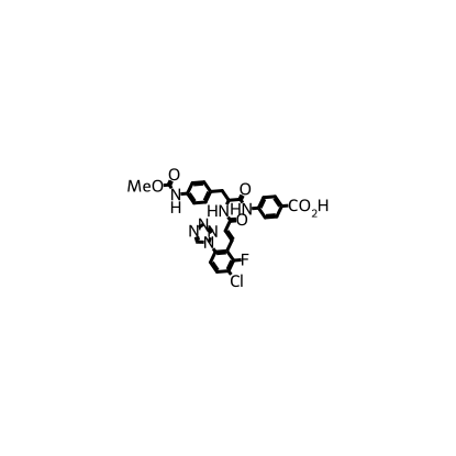 COC(=O)Nc1ccc(CC(NC(=O)C=Cc2c(-n3cnnn3)ccc(Cl)c2F)C(=O)Nc2ccc(C(=O)O)cc2)cc1